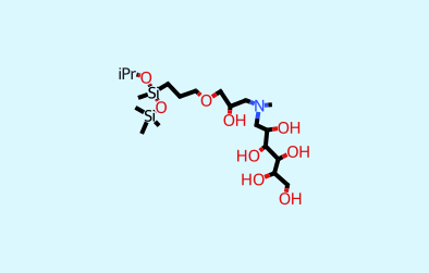 CC(C)O[Si](C)(CCCOCC(O)CN(C)CC(O)C(O)C(O)C(O)CO)O[Si](C)(C)C